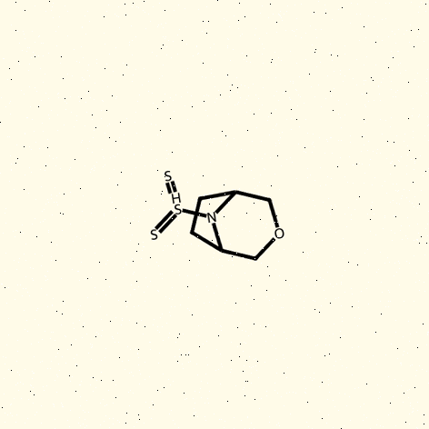 S=[SH](=S)N1C2CCC1COC2